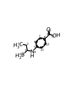 BC(CC)Nc1ccc(C(=O)O)cc1